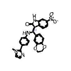 Cn1ccnc1-c1ccc(N/C(=C2\C(=O)Nc3cc([N+](=O)[O-])ccc32)c2ccc3c(c2)OCCO3)cc1